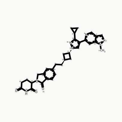 Cn1ncc2cnc(-c3cn([C@H]4C[C@H](CCc5ccc6c(c5)CN(C5CCC(=O)NC5=O)C6=O)C4)nc3C3CC3)cc21